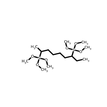 CCC(CCCCC(C)[Si](OC)(OC)OC)[Si](OC)(OC)OC